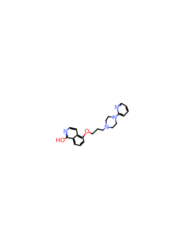 Oc1nccc2c(OCCCN3CCN(c4ccccn4)CC3)cccc12